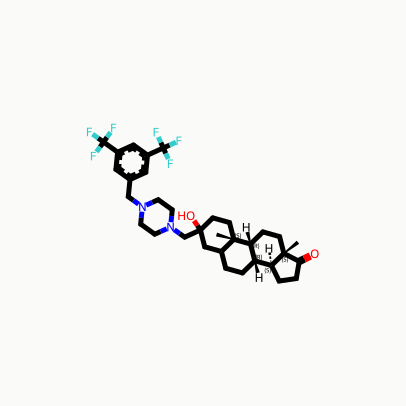 C[C@]12CCC(O)(CN3CCN(Cc4cc(C(F)(F)F)cc(C(F)(F)F)c4)CC3)CC1CC[C@@H]1[C@H]2CC[C@]2(C)C(=O)CC[C@@H]12